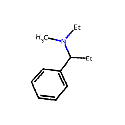 CCC(c1ccccc1)N(C)CC